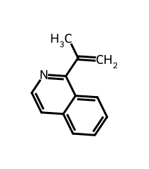 C=C(C)c1nccc2ccccc12